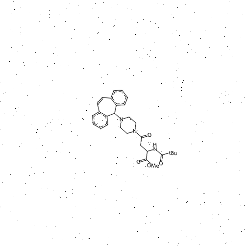 COC(=O)C(CC(=O)N1CCN(C2c3ccccc3C=Cc3ccccc32)CC1)NC(=O)C(C)(C)C